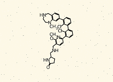 COc1nc(-c2cccc(-c3cccc(-c4ccc5c(c4)N(C)CCNC5)c3Cl)c2Cl)ccc1CNCC1CCC(=O)N1